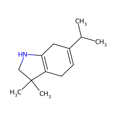 CC(C)C1=CCC2=C(C1)NCC2(C)C